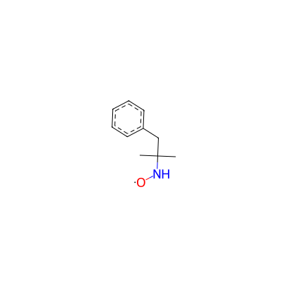 CC(C)(Cc1ccccc1)N[O]